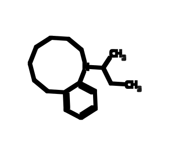 CCC(C)N1CCCCCCCc2ccccc21